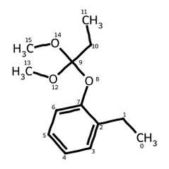 CCc1ccccc1OC(CC)(OC)OC